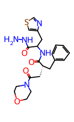 NNC(=O)C(Cc1cscn1)NC(=O)[C@@H](CC(=O)N1CCOCC1)Cc1ccccc1